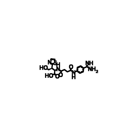 N=C(N)c1ccc(NC(=O)CCC(=O)NC(C(=O)O)[C@@H](CO)c2nccs2)cc1